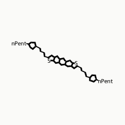 CCCCCc1ccc(/C=C/C=C/c2cc3cc4cc5cc6sc(/C=C/C=C/c7ccc(CCCCC)cc7)cc6cc5cc4cc3s2)cc1